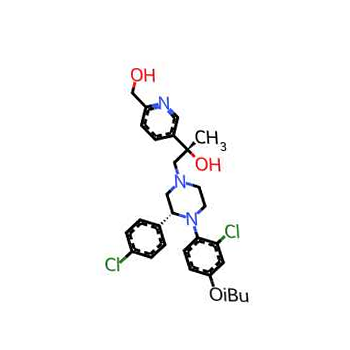 CC(C)COc1ccc(N2CCN(C[C@@](C)(O)c3ccc(CO)nc3)C[C@H]2c2ccc(Cl)cc2)c(Cl)c1